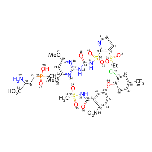 CCS(=O)(=O)c1cccnc1S(=O)(=O)NC(=O)Nc1nc(OC)cc(OC)n1.CP(=O)(O)CCC(N)C(=O)O.CS(=O)(=O)NC(=O)c1cc(Oc2ccc(C(F)(F)F)cc2Cl)ccc1[N+](=O)[O-]